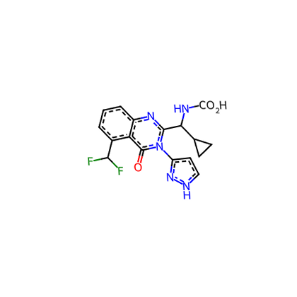 O=C(O)NC(c1nc2cccc(C(F)F)c2c(=O)n1-c1cc[nH]n1)C1CC1